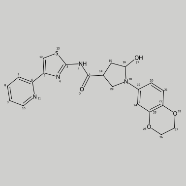 O=C(Nc1nc(-c2ccccn2)cs1)C1CC(O)N(c2ccc3c(c2)OCCO3)C1